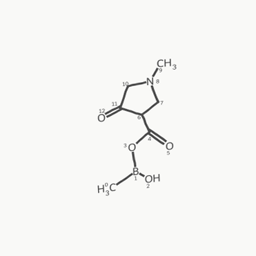 CB(O)OC(=O)C1CN(C)CC1=O